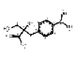 CCC(N)(Cc1ccc(B(O)O)cc1)C(=O)O